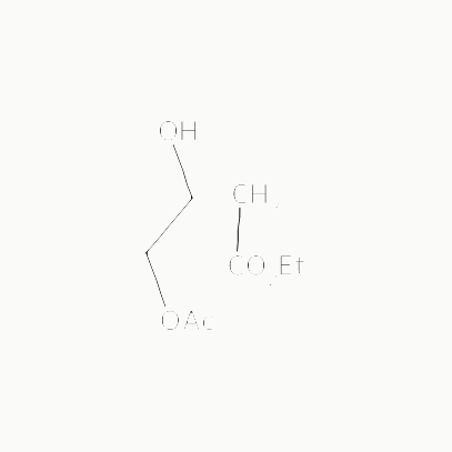 CC(=O)OCCO.CCOC(C)=O